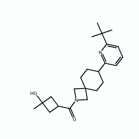 CC1(O)CC(C(=O)N2CC3(CCC(c4cccc(C(C)(C)C)n4)CC3)C2)C1